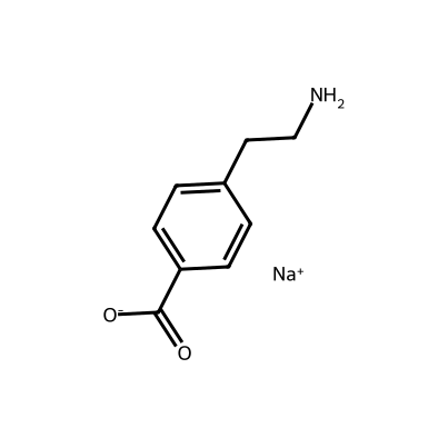 NCCc1ccc(C(=O)[O-])cc1.[Na+]